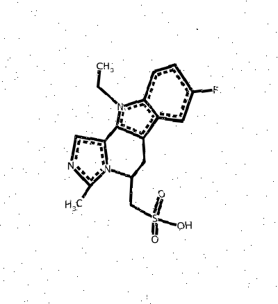 CCn1c2c(c3cc(F)ccc31)CC(CS(=O)(=O)O)n1c-2cnc1C